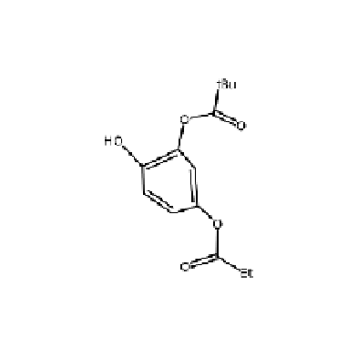 CCC(=O)Oc1ccc(O)c(OC(=O)C(C)(C)C)c1